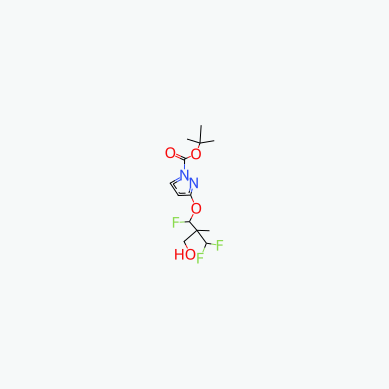 CC(C)(C)OC(=O)n1ccc(OC(F)C(C)(CO)C(F)F)n1